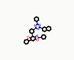 c1ccc(-c2nc(-c3cccc(-c4c5nc(-c6ccccc6)oc5cc5c4oc4ccccc45)c3)nc(-c3ccc4ccccc4c3)n2)cc1